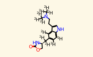 [2H]c1c(C([2H])([2H])[C@H]2COC(=O)N2)c([2H])c2c(CCN(C([2H])([2H])[2H])C([2H])([2H])[2H])c[nH]c2c1[2H]